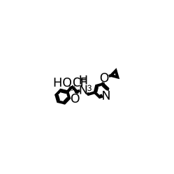 O=C(NCc1cncc(OC2CC2)c1)[C@@](O)(c1ccccc1)C(F)(F)F